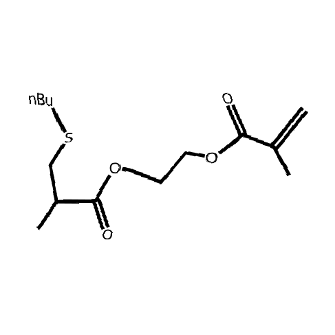 C=C(C)C(=O)OCCOC(=O)C(C)CSCCCC